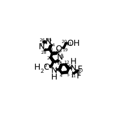 C=C(Nc1ccc(NC(F)(F)I)cc1)c1cnc(OCCO)c(-c2cncnc2)c1